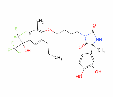 CCCc1cc(C(O)(C(F)(F)F)C(F)(F)F)cc(C)c1OCCCCN1C(=O)NC(C)(c2ccc(O)c(O)c2)C1=O